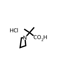 CC(C)(C(=O)O)N1CCC1.Cl